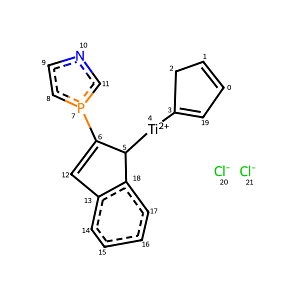 C1=CC[C]([Ti+2][CH]2C(p3ccnc3)=Cc3ccccc32)=C1.[Cl-].[Cl-]